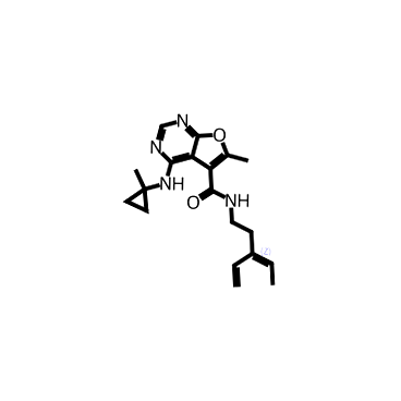 C=C/C(=C\C)CCNC(=O)c1c(C)oc2ncnc(NC3(C)CC3)c12